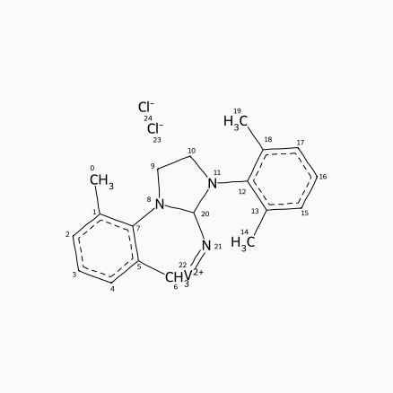 Cc1cccc(C)c1N1CCN(c2c(C)cccc2C)C1[N]=[V+2].[Cl-].[Cl-]